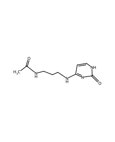 CC(=O)NCCCNc1cc[nH]c(=O)n1